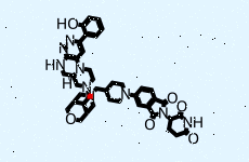 O=C1CCC(N2C(=O)c3ccc(N4CCC(CN5CC6COCC(C5)C6CN5CCN6c7cc(-c8ccccc8O)nnc7NC[C@H]6C5)CC4)cc3C2=O)C(=O)N1